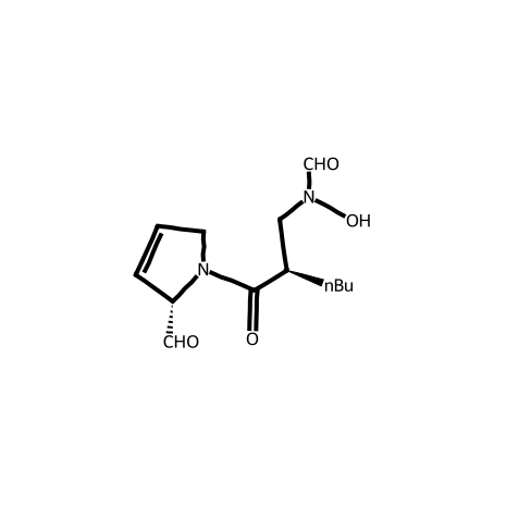 CCCC[C@H](CN(O)C=O)C(=O)N1CC=C[C@H]1C=O